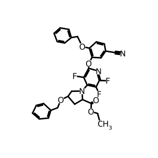 CCOC(=O)C1CC(OCc2ccccc2)CN1c1c(F)c(F)nc(Oc2cc(C#N)ccc2OCc2ccccc2)c1F